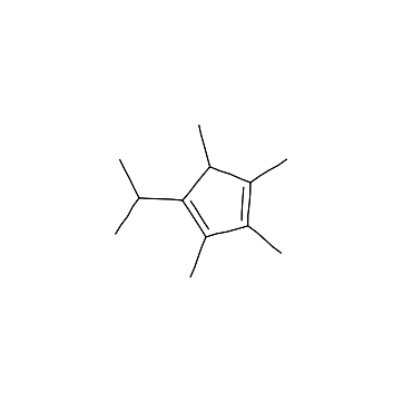 CC1=C(C)C(C)C(C(C)C)=C1C